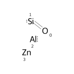 O=[Si].[Al].[Zn]